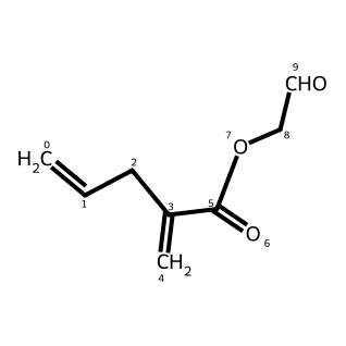 C=CCC(=C)C(=O)OCC=O